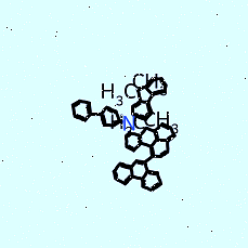 CC1(C)c2ccccc2-c2ccc(N(c3ccc(-c4ccccc4)cc3)c3cccc4c3C(C)(C)c3cccc5ccc(-c6cc7ccccc7c7ccccc67)c-4c35)cc21